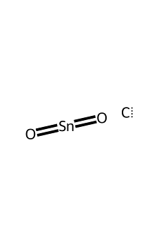 [C].[O]=[Sn]=[O]